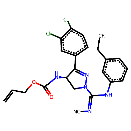 C=CCOC(=O)N[C@@H]1CN(/C(=N\C#N)Nc2cccc(CC(F)(F)F)c2)N=C1c1ccc(Cl)c(Cl)c1